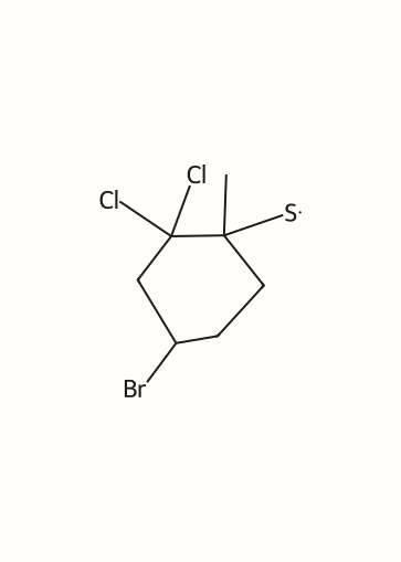 CC1([S])CCC(Br)CC1(Cl)Cl